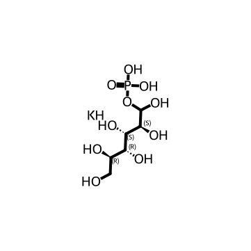 O=P(O)(O)OC(O)[C@@H](O)[C@@H](O)[C@H](O)[C@H](O)CO.[KH]